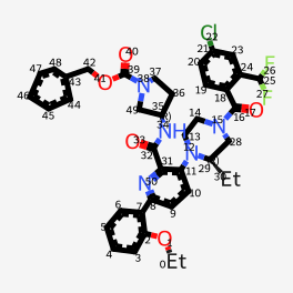 CCOc1ccccc1-c1ccc(N2CCN(C(=O)c3ccc(Cl)cc3C(F)F)C[C@H]2CC)c(C(=O)N[C@@H]2CCN(C(=O)OCc3ccccc3)C2)n1